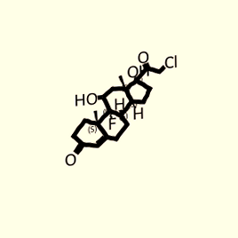 C[C@]12CCC(=O)C=C1CC[C@H]1[C@@H]3CC[C@](O)(C(=O)CCl)[C@@]3(C)CC(O)[C@@]12F